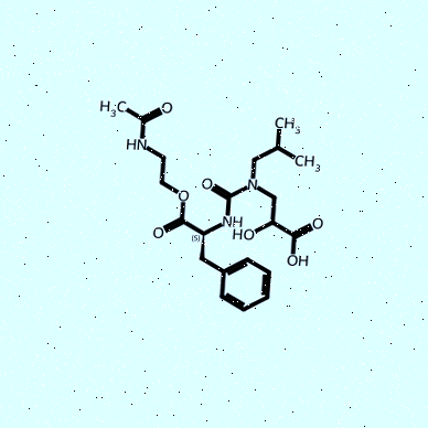 CC(=O)NCCOC(=O)[C@H](Cc1ccccc1)NC(=O)N(CC(C)C)CC(O)C(=O)O